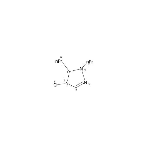 CCCC1N(Cl)C=NN1CCC